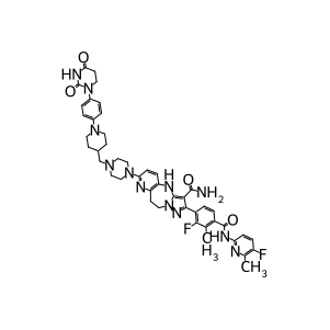 Cc1nc(NC(=O)c2ccc(-c3nn4c(c3C(N)=O)Nc3ccc(N5CCN(CC6CCN(c7ccc(N8CCC(=O)NC8=O)cc7)CC6)CC5)nc3CC4)c(F)c2C)ccc1F